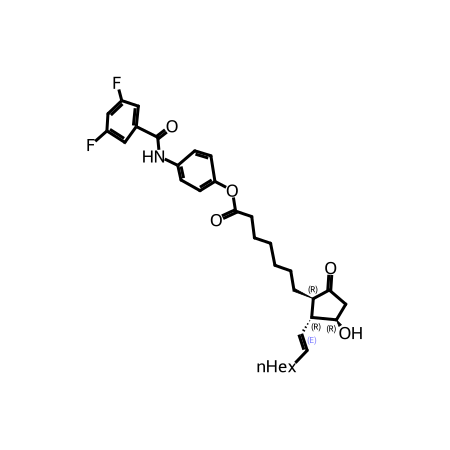 CCCCCC/C=C/[C@H]1[C@H](O)CC(=O)[C@@H]1CCCCCCC(=O)Oc1ccc(NC(=O)c2cc(F)cc(F)c2)cc1